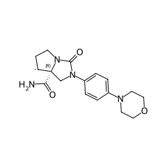 NC(=O)[C@]12[CH]CCN1C(=O)N(c1ccc(N3CCOCC3)cc1)C2